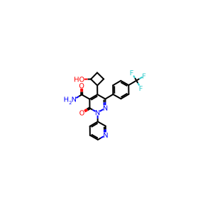 NC(=O)c1c(C2CCC2O)c(-c2ccc(C(F)(F)F)cc2)nn(-c2cccnc2)c1=O